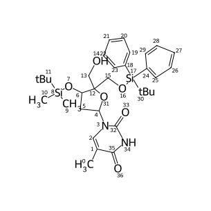 Cc1cn(C2CC(O[Si](C)(C)C(C)(C)C)C(CO)(CO[Si](c3ccccc3)(c3ccccc3)C(C)(C)C)O2)c(=O)[nH]c1=O